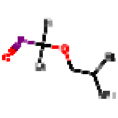 CCCCC(CC)COC(CC)(CC)P=O